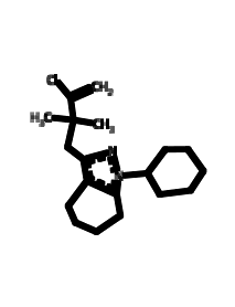 C=C(Cl)C(C)(C)Cc1nn(C2CCCCC2)c2c1CCCC2